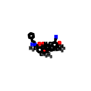 CC1(C)C(=O)C(C#N)=C[C@]2(C)C3=CC(=O)[C@]4(O)[C@@H]5C[C@@](C)(C(=O)NCCc6ccccc6)CC[C@]5(C)CC[C@@]4(C)[C@]3(C)CC[C@@H]12